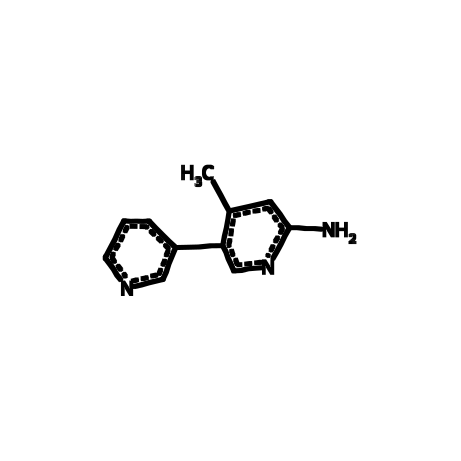 Cc1cc(N)ncc1-c1cccnc1